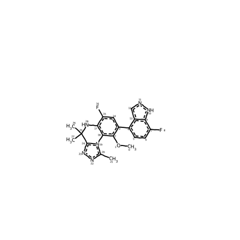 COc1c(-c2ccc(F)c3[nH]ncc23)cc(F)c2c1-n1c(C)nnc1C(C)(C)N2